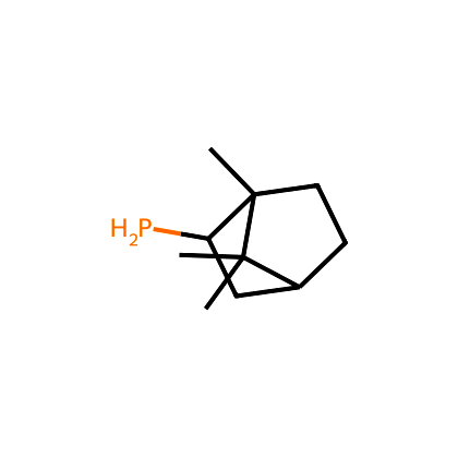 CC1(C)C2CCC1(C)C(P)C2